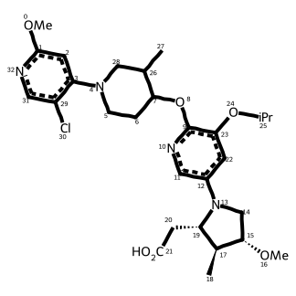 COc1cc(N2CCC(Oc3ncc(N4C[C@H](OC)[C@@H](C)[C@@H]4CC(=O)O)cc3OC(C)C)C(C)C2)c(Cl)cn1